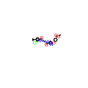 CCOC(=O)[C@H]1CC[C@@H](Oc2ccc(C(=O)NCCNC(=O)c3ccc(C4CC4)c(Cl)c3)cn2)CC1